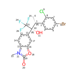 C[C@H](c1ccc(Br)cc1Cl)[C@@](O)(c1ccc2c(c1)oc(=O)n2C)C(F)(F)F